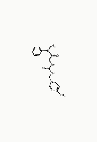 Cc1ccc(CNC(=O)NCC(=O)N(C)c2ccccc2)cc1